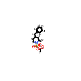 CC(=O)OS(=O)(=O)N1CCC(Cc2ccccc2)CC1C